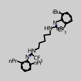 CCCc1cccc(CCC)c1/N=C(/NCCCCCN/C(=N/c1c(CCC)cccc1C(C)CC)C(F)(F)F)C(F)(F)F